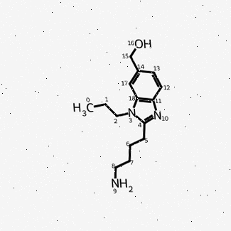 CCCn1c(CCCCN)nc2ccc(CO)cc21